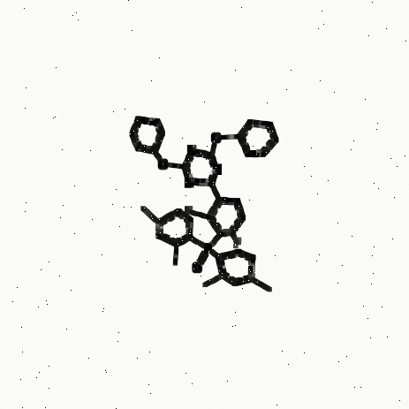 Cc1ccc(P(=O)(c2ccc(C)cc2C)c2c(F)ccc(-c3nc(Oc4ccccc4)nc(Oc4ccccc4)n3)c2F)c(C)c1